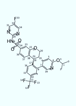 CC(C)Oc1ccc(-c2cc(C(F)(F)F)ccc2[C@@H]2CCOc3cc(S(=O)(=O)Nc4ncc(F)cn4)ccc32)cn1